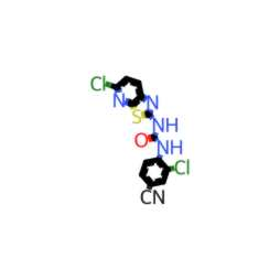 N#Cc1ccc(NC(=O)Nc2nc3ccc(Cl)nc3s2)c(Cl)c1